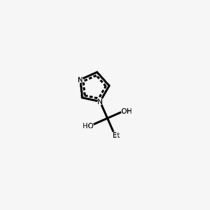 CCC(O)(O)n1ccnc1